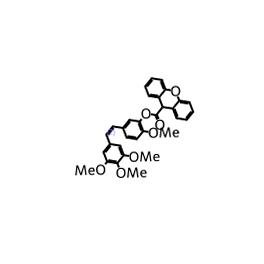 COc1ccc(/C=C\c2cc(OC)c(OC)c(OC)c2)cc1OC(=O)C1c2ccccc2Oc2ccccc21